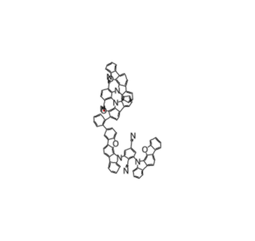 N#Cc1cc(-n2c3ccccc3c3ccc4c5ccccc5oc4c32)c(C#N)c(-n2c3ccccc3c3ccc4c5cc(-c6cccc7oc8c(ccc9c%10ccccc%10n(-c%10c(C#N)ccc(C#N)c%10-n%10c%11ccccc%11c%11ccc%12c%13ccccc%13oc%12c%11%10)c98)c67)ccc5oc4c32)c1